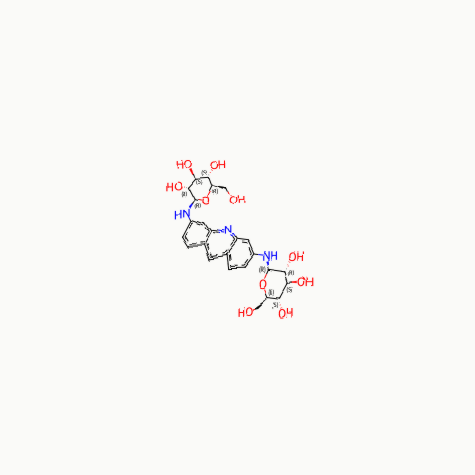 OC[C@H]1O[C@@H](Nc2ccc3cc4ccc(N[C@@H]5O[C@H](CO)[C@@H](O)[C@H](O)[C@H]5O)cc4nc3c2)[C@H](O)[C@@H](O)[C@@H]1O